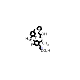 Cc1ccc(C[C@@H]2CCCN2C[C@@H](O)CO[C@H](C)c2cc(Cl)c(F)cc2/C=C/C(=O)O)cc1F